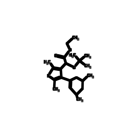 CCOC(=O)C(OC(C)(C)C)c1c(C)sc(C)c1C1=CC(C)CC(C)C1